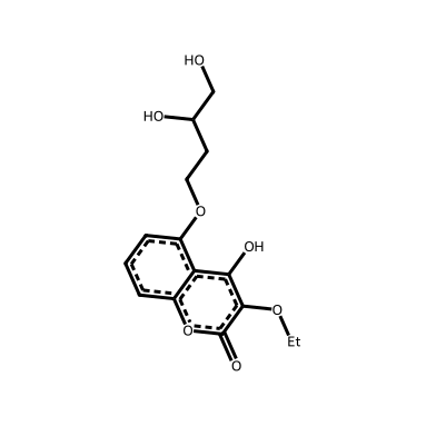 CCOc1c(O)c2c(OCCC(O)CO)cccc2oc1=O